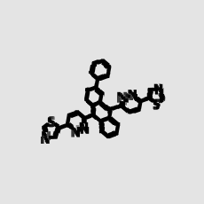 c1ccc(-c2ccc3c(-c4ccc(-c5cncs5)nn4)c4ccccc4c(-c4ccc(-c5cncs5)nn4)c3c2)cc1